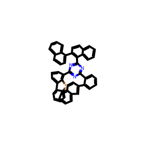 c1ccc(-c2nc(-c3c(-c4cccc5ccccc45)ccc4ccccc34)nc(-c3cccc4c3sc3ccccc34)n2)c(-c2ccc3ccccc3c2)c1